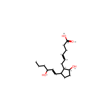 CCCC(O)C=CC1CCC(O)C1CC=CCCC(=O)O